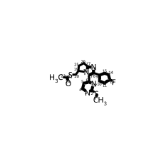 CSc1nccc(-c2c(-c3ccc(F)cc3)nc3n2C(CSC(C)=O)CC3)n1